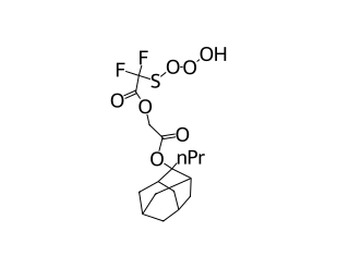 CCCC1(OC(=O)COC(=O)C(F)(F)SOOO)C2CC3CC(C2)CC1C3